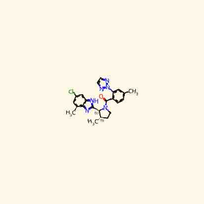 Cc1ccc(C(=O)N2CC[C@H](C)[C@H]2c2nc3c(C)cc(Cl)cc3[nH]2)c(-n2nccn2)c1